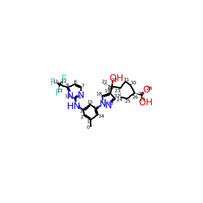 Cc1cc(Nc2nccc(C(F)(F)F)n2)cc(-n2cc([C@@](C)(O)[C@H]3CC[C@H](C(=O)O)CC3)cn2)c1